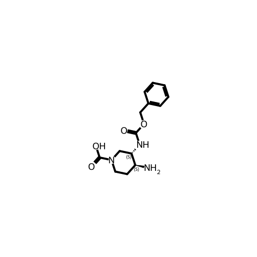 N[C@H]1CCN(C(=O)O)C[C@@H]1NC(=O)OCc1ccccc1